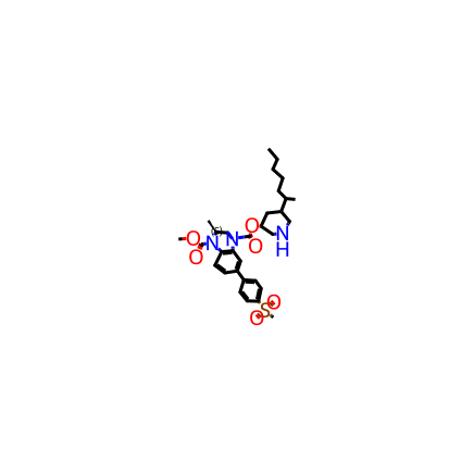 CCCCCC(C)C1CNCC(OC(=O)N2C[C@H](C)N(C(=O)OC)c3ccc(-c4ccc(S(C)(=O)=O)cc4)cc32)C1